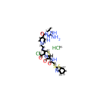 CCCN(NC(=N)N)C(=O)c1cc[n+](C/C=C/C2=C(C(=O)Cl)N3C(=O)[C@@H](NC(=O)CSc4nc5ccccc5s4)[C@H]3SC2)cc1.Cl